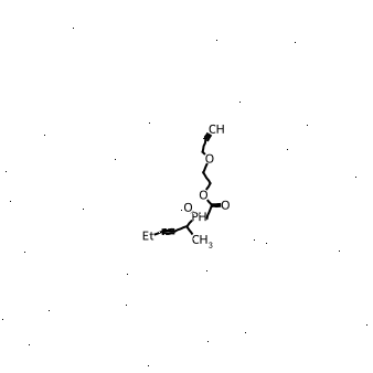 C#CCOCCOC(=O)C[PH](=O)C(C)C#CCC